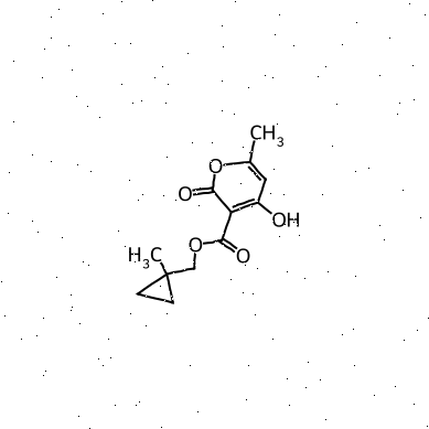 Cc1cc(O)c(C(=O)OCC2(C)CC2)c(=O)o1